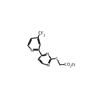 CCOC(=O)CSc1nccc(-c2cc(C(F)(F)F)ccn2)n1